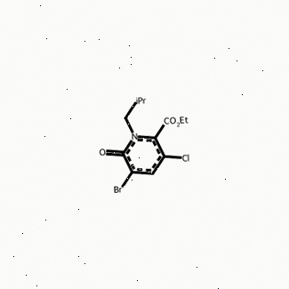 CCOC(=O)c1c(Cl)cc(Br)c(=O)n1CC(C)C